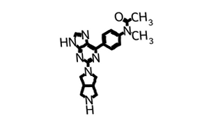 CC(=O)N(C)c1ccc(-c2nc(N3CC4CNCC4C3)nc3[nH]cnc23)cc1